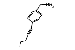 CCCC#Cc1ccc(CN)cc1